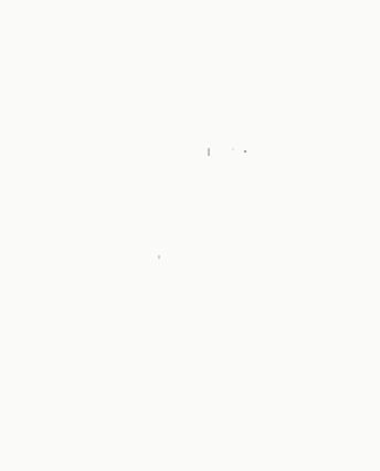 CCCCCCC(CN1CCCC1)C(C)(C)C